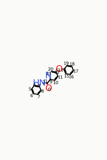 O=C(Nc1ccccc1)c1ccc(Oc2ccccc2)cn1